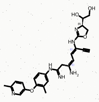 C#C/C(=C\C=C(\N)CC(=N)Nc1ccc(Oc2ccc(C)nc2)c(C)c1)NC1=N[C@@H](C(O)CO)CO1